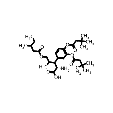 CCC(C)CC(=O)OCC(C)C(c1ccc(OC(=O)CC(C)(C)C)c(OC(=O)CC(C)(C)C)c1)[C@H](N)C(=O)O